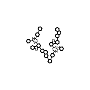 c1ccc(-c2ccc(-c3nc(-c4ccccc4)nc(-c4ccc(-c5ccc6c(ccc7cc(-c8ccccc8-c8ccc(C9=NC(c%10ccccc%10)NC(c%10cccc%11oc%12c(-c%13ccc%14c(ccc%15ccccc%15%14)c%13)cccc%12c%10%11)=N9)cc8)ccc76)c5)c5oc6ccccc6c45)n3)cc2)cc1